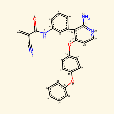 C=C(C#N)C(=O)Nc1cccc(-c2c(Oc3ccc(Oc4ccccc4)cc3)ccnc2N)c1